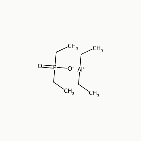 CCP(=O)([O-])CC.C[CH2][Al+][CH2]C